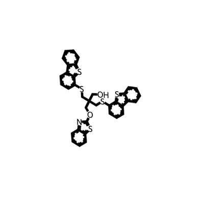 OCC(COc1nc2ccccc2s1)(CSc1cccc2c1sc1ccccc12)CSc1cccc2c1sc1ccccc12